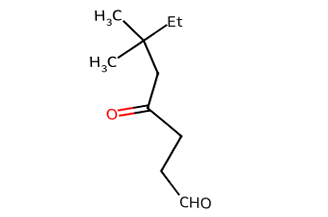 CCC(C)(C)CC(=O)CCC=O